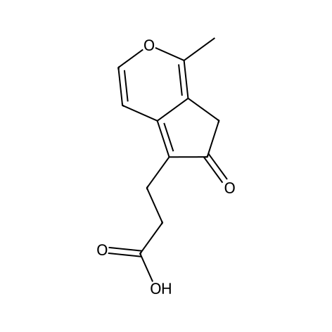 CC1=C2CC(=O)C(CCC(=O)O)=C2C=CO1